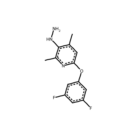 Cc1cc(Oc2cc(F)cc(F)c2)nc(C)c1NN